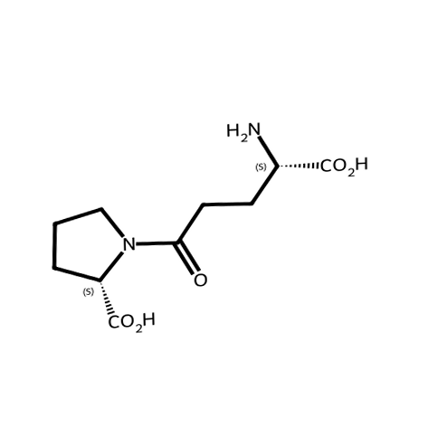 N[C@@H](CCC(=O)N1CCC[C@H]1C(=O)O)C(=O)O